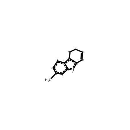 Cc1ccc2c3c(oc2c1)C=CCC3